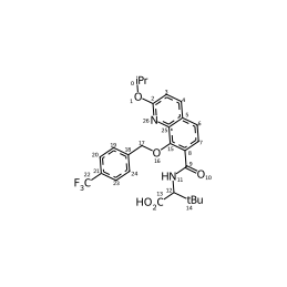 CC(C)Oc1ccc2ccc(C(=O)NC(C(=O)O)C(C)(C)C)c(OCc3ccc(C(F)(F)F)cc3)c2n1